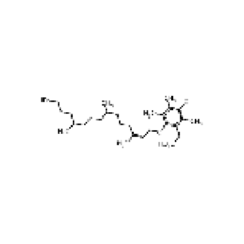 CC(=CCOc1c(C)c(C)c(O)c(C)c1CC(=O)O)CCCC(C)CCCC(C)CCCC(C)C